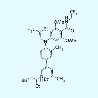 CC/C(C)=C\C(=C/NC(CC)CC(C)CC)c1ccc(N(/C=C(/C)CC)c2cc(OC)c(C(=O)NCC(F)(F)F)c(OC)c2)c(C)c1